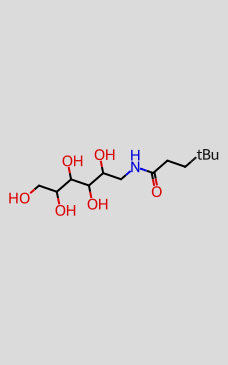 CC(C)(C)CCC(=O)NCC(O)C(O)C(O)C(O)CO